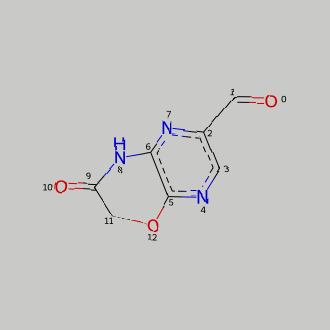 O=Cc1cnc2c(n1)NC(=O)CO2